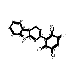 O=C1C=C(Cl)C(=O)C(C2=CCC3=c4ccccc4=NC3=C2)=C1Cl